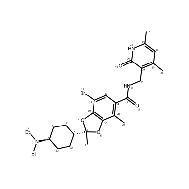 CCN(CC)[C@H]1CC[C@H](C2(C)Oc3c(Br)cc(C(=O)NCc4c(C)cc(C)[nH]c4=O)c(C)c3O2)CC1